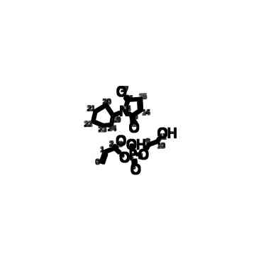 C=CC(=O)OP(=O)(O)OCCO.O=C1C=CC(=O)N1C1CCCCC1